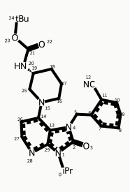 CC(C)n1c(=O)n(Cc2ccccc2C#N)c2c(N3CCC[C@@H](NC(=O)OC(C)(C)C)C3)ccnc21